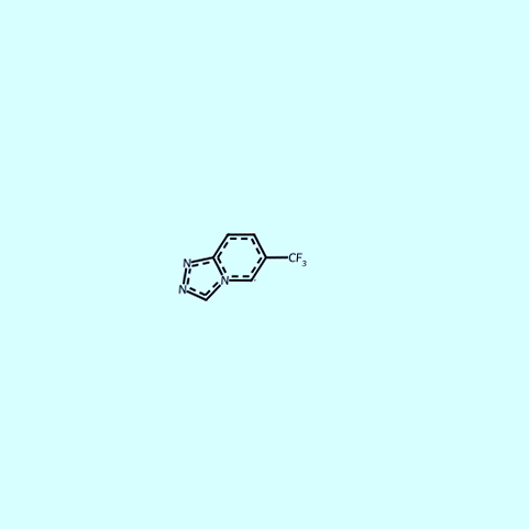 FC(F)(F)c1[c]n2cnnc2cc1